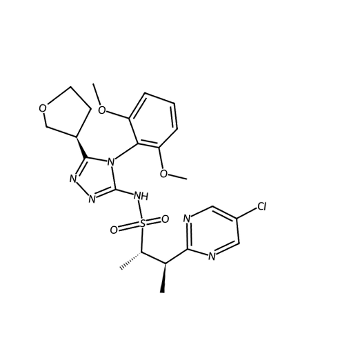 COc1cccc(OC)c1-n1c(NS(=O)(=O)[C@@H](C)[C@H](C)c2ncc(Cl)cn2)nnc1[C@@H]1CCOC1